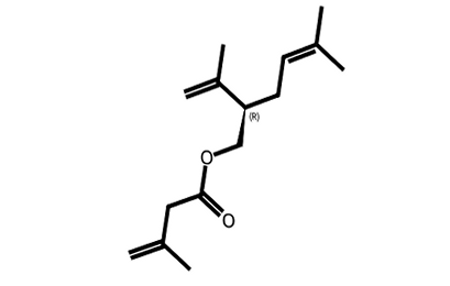 C=C(C)CC(=O)OC[C@H](CC=C(C)C)C(=C)C